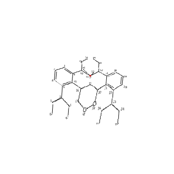 CCC(CC)c1cccc(C(CC)CC)c1C1COOC(c2c(C(CC)CC)cccc2C(CC)CC)C1